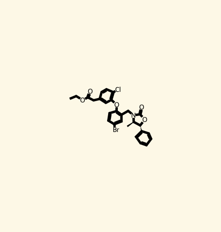 CCOC(=O)Cc1ccc(Cl)c(Oc2ccc(Br)cc2CN2C(=O)O[C@H](c3ccccc3)[C@H]2C)c1